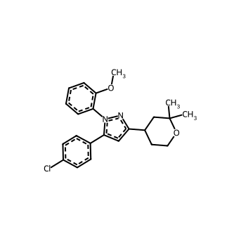 COc1ccccc1-n1nc(C2CCOC(C)(C)C2)cc1-c1ccc(Cl)cc1